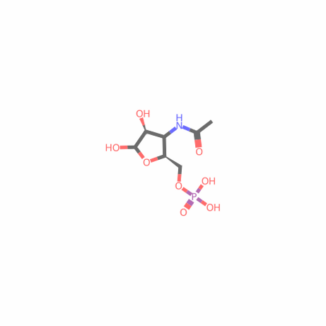 CC(=O)NC1[C@H](O)C(O)O[C@@H]1COP(=O)(O)O